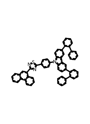 c1ccc(-c2ccccc2-c2ccc3c(c2)c2cc(-c4ccccc4-c4ccccc4)ccc2n3-c2ccc(-c3nc(-c4cc5ccccc5c5ccccc45)ns3)cc2)cc1